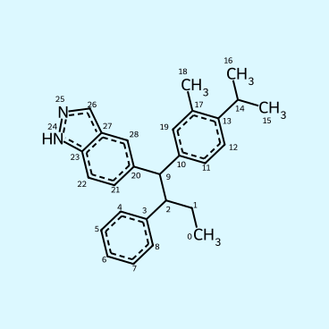 CCC(c1ccccc1)C(c1ccc(C(C)C)c(C)c1)c1ccc2[nH]ncc2c1